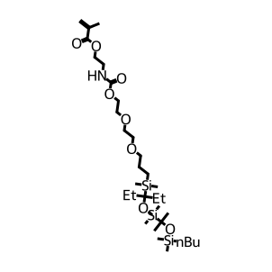 C=C(C)C(=O)OCCNC(=O)OCCOCCOCCC[Si](C)(C)C(CC)(CC)O[Si](C)(C)C(C)(C)O[Si](C)(C)CCCC